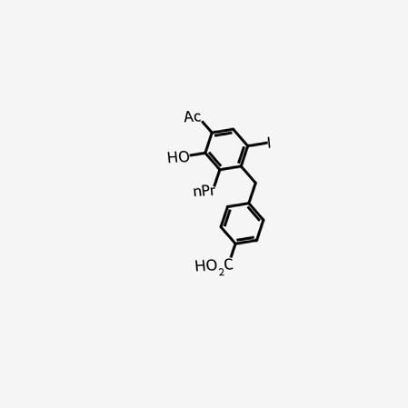 CCCc1c(O)c(C(C)=O)cc(I)c1Cc1ccc(C(=O)O)cc1